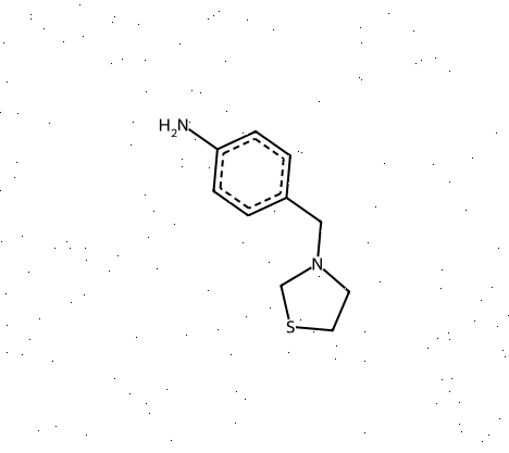 Nc1ccc(CN2CCSC2)cc1